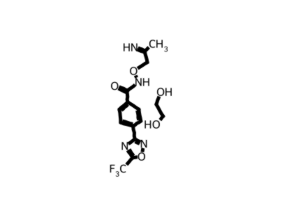 CC(=N)CONC(=O)c1ccc(-c2noc(C(F)(F)F)n2)cc1.OCCO